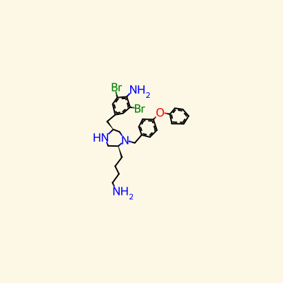 NCCCC[C@H]1CN[C@@H](Cc2cc(Br)c(N)c(Br)c2)CN1Cc1ccc(Oc2ccccc2)cc1